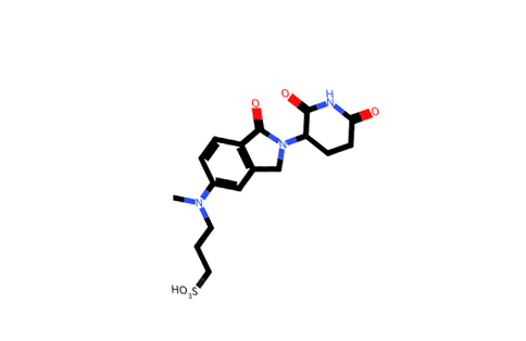 CN(CCCS(=O)(=O)O)c1ccc2c(c1)CN(C1CCC(=O)NC1=O)C2=O